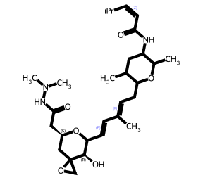 CC(/C=C/C1O[C@H](CC(=O)NN(C)C)CC2(CO2)[C@@H]1O)=C\CC1OC(C)C(NC(=O)/C=C\C(C)C)CC1C